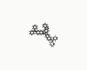 C1=C(N(c2ccccc2)c2ccc3cc4c(cc3c2)c2cc3sc5ccccc5c3c3c5cc6cc(N(c7ccccc7)c7ccccc7)ccc6cc5n4c23)CCCC1